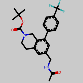 CC(=O)NCc1cc2c(c(-c3ccc(C(F)(F)F)cc3)c1)CN(C(=O)OC(C)(C)C)CC2